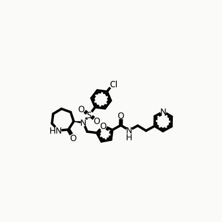 O=C(NCCc1cccnc1)c1ccc(CN([C@@H]2CCCCNC2=O)S(=O)(=O)c2ccc(Cl)cc2)o1